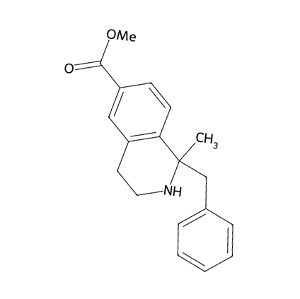 COC(=O)c1ccc2c(c1)CCNC2(C)Cc1ccccc1